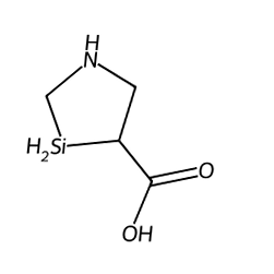 O=C(O)C1CNC[SiH2]1